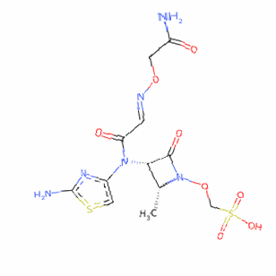 C[C@@H]1[C@H](N(C(=O)C=NOCC(N)=O)c2csc(N)n2)C(=O)N1OCS(=O)(=O)O